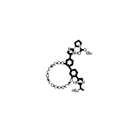 CCCC[C@H](C)c1ncc(-c2ccc3cc2OCCOCCOCCOCCOCCOc2cc(-c4cnc([C@@H]5CCCN5C(=O)OC(C)(C)C)[nH]4)ccc2-3)[nH]1